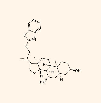 C[C@H](CCc1nc2ccccc2o1)[C@H]1CC[C@H]2[C@@H]3[C@H](O)C[C@@H]4C[C@H](O)CC[C@]4(C)[C@H]3CC[C@]12C